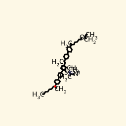 C=C(CC)OCCCCCC(=C)C1CCC(C2CCC(C(=C)Cc3ccc(C4CCC(C5CCC(C(=C)CCCCCCC)CC5)CC4)c(S/C(C)=C(\C)C#N)c3C)CC2)CC1